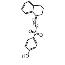 O=S(=O)(O/N=C1\CCCc2ccccc21)c1ccc(O)cc1